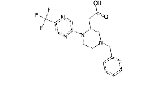 O=C(O)CC1CN(Cc2ccccc2)CCN1c1cnc(C(F)(F)F)cn1